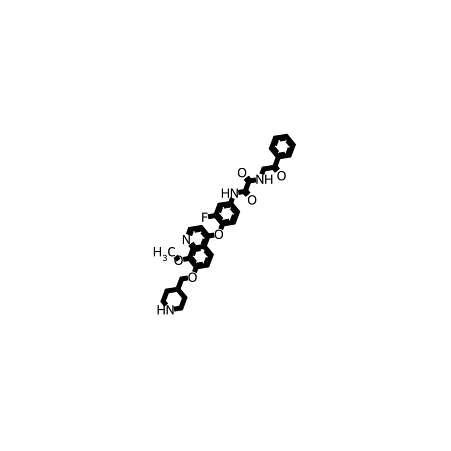 COc1c(OCC2CCNCC2)ccc2c(Oc3ccc(NC(=O)C(=O)NCC(=O)c4ccccc4)cc3F)ccnc12